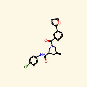 C=C1CC(C(=O)Nc2ccc(Cl)cc2)CN(C(=O)c2cccc(-c3ccco3)c2)C1